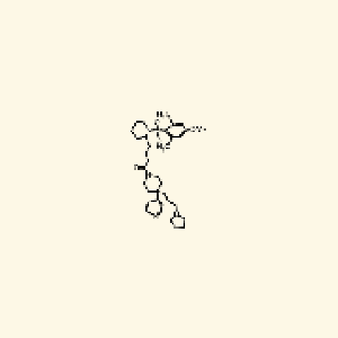 COc1cc(C)c(S(=O)(=O)N2CCCCC2CCCC(=O)N2CCC(CCCN3CCCC3)(c3ccncc3)CC2)c(C)c1